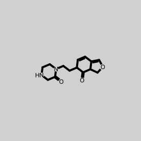 O=C1C(CCN2CCNCC2=O)C=CC2=COCC12